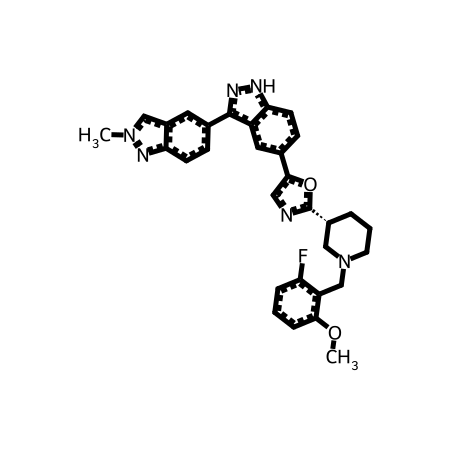 COc1cccc(F)c1CN1CCC[C@@H](c2ncc(-c3ccc4[nH]nc(-c5ccc6nn(C)cc6c5)c4c3)o2)C1